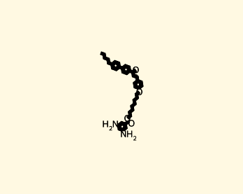 CCCCCc1ccc(-c2ccc(C(=O)C=Cc3ccc(OCCCCCCCCOC(=O)c4cc(N)cc(N)c4)cc3)cc2)cc1